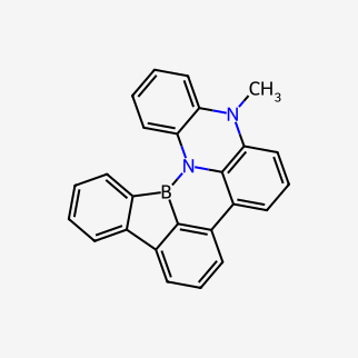 CN1c2ccccc2N2B3c4ccccc4-c4cccc(c43)-c3cccc1c32